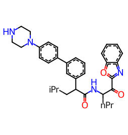 CCCC(NC(=O)C(CC(C)C)c1cccc(-c2ccc(N3CCNCC3)cc2)c1)C(=O)c1nc2ccccc2o1